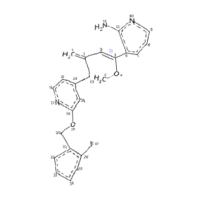 C=C(/C=C(\OC)c1cccnc1N)Cc1ccnc(OCc2ccccc2F)c1